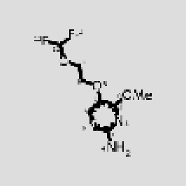 COc1nc(N)ncc1OCCOC(F)F